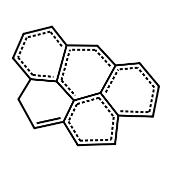 C1=c2ccc3cccc4cc5cccc(c5c2c34)C1